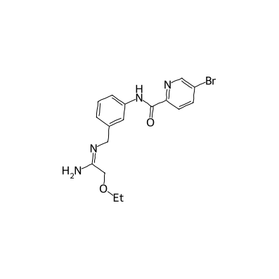 CCOC/C(N)=N\Cc1cccc(NC(=O)c2ccc(Br)cn2)c1